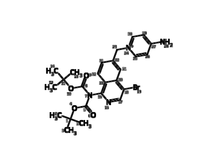 CC(C)(C)OC(=O)N(C(=O)OC(C)(C)C)c1ncc(Br)c2cc(C[n+]3ccc(N)cc3)ccc12